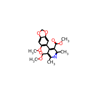 COC(=O)c1c(C)nc(C)c(C(=O)OC)c1-c1cc2c(cc1OC)OCO2